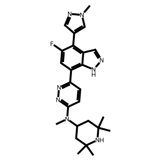 CN(c1ccc(-c2cc(F)c(-c3cnn(C)c3)c3cn[nH]c23)nn1)C1CC(C)(C)NC(C)(C)C1